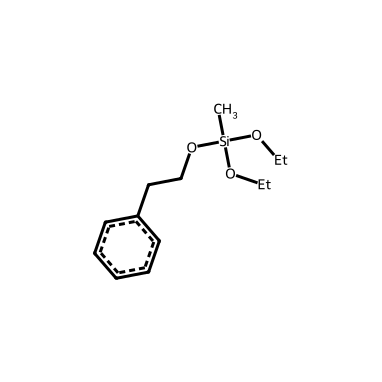 CCO[Si](C)(OCC)OCCc1ccccc1